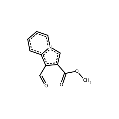 COC(=O)c1cn2ccccc2c1C=O